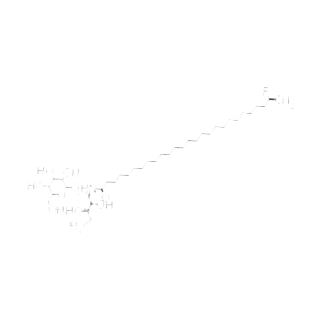 C=C(F)CCCCCCCCCCCCCCCCCCCCCCCCC(=O)N[C@@H](COC1OC(CO)C(O)C(O)C1O)[C@H](O)[C@H](O)CC